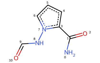 NC(=O)c1cccn1NC=O